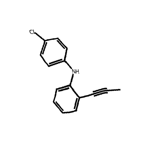 CC#Cc1ccccc1Nc1ccc(Cl)cc1